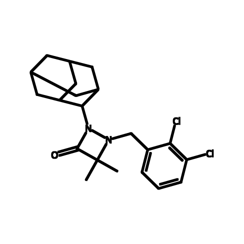 CC1(C)C(=O)N(C2C3CC4CC(C3)CC2C4)N1Cc1cccc(Cl)c1Cl